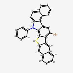 Brc1cc2c3c4ccccc4ccc3n(-c3ccccc3)c2c2sc3cc4ccccc4cc3c12